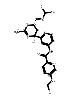 C[C@@]1(c2cc(NC(=O)c3ccc(OCF)cn3)ccn2)C[C@@H](COC(F)F)SC(N)=N1